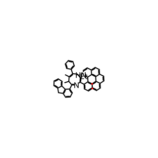 CC/C1=C(c2ccccc2C2NC=Cc3ccc4ccc5ccccc5c4c32)/N=C(/c2cccc3c2-c2ccccc2C3)C(C)/C(C)=C(/c2ccccc2)C1